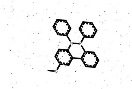 COc1ccc2c(c1)-c1ccccc1B(c1ccccc1)N2c1ccccc1